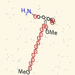 COCCOCCCC1(CCCOCCOCCOCCOCCOCCOCCOCCOCCOCCOCCOCCOC)c2cc(B3OC(C)(C)C(C)(C)O3)ccc2-c2ccc(-c3ccc(OCCCCN)cc3)cc21